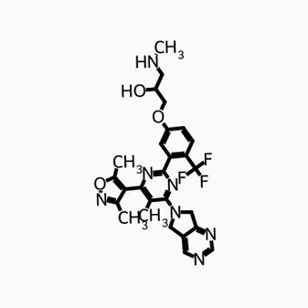 CNCC(O)COc1ccc(C(F)(F)F)c(-c2nc(-c3c(C)noc3C)c(C)c(N3Cc4cncnc4C3)n2)c1